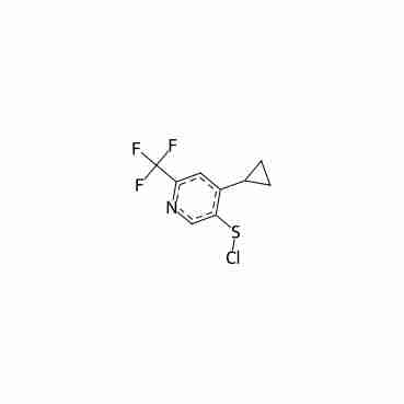 FC(F)(F)c1cc(C2CC2)c(SCl)cn1